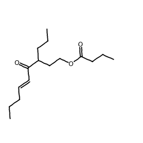 CCCC=CC(=O)C(CCC)CCOC(=O)CCC